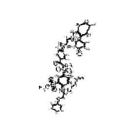 CC(C)N(CCC[C@H](CSc1ccccc1)Nc1ccc(S(=O)(=O)NC(=O)c2ccc(NCCNCC3=C(c4ccc(Cl)cc4)CCCC3)cc2)cc1S(=O)(=O)C(F)(F)F)C(C)C